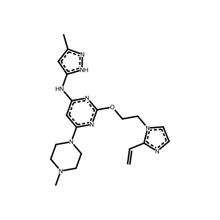 C=Cc1nccn1CCOc1nc(Nc2cc(C)n[nH]2)cc(N2CCN(C)CC2)n1